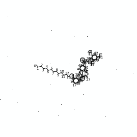 CCCCCCCCCCCCCCOc1cccc(F)c1CN1C(=O)C(C)Sc2cc(C(=O)NCc3c(F)cc(F)cc3F)ccc21